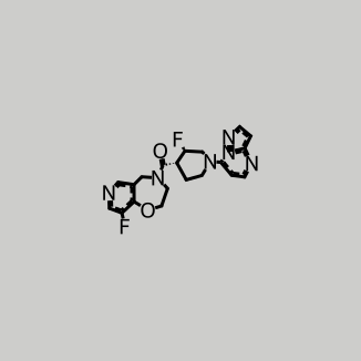 O=C([C@H]1CCN(c2ccnc3ccnn23)C[C@@H]1F)N1CCOc2c(F)cncc2C1